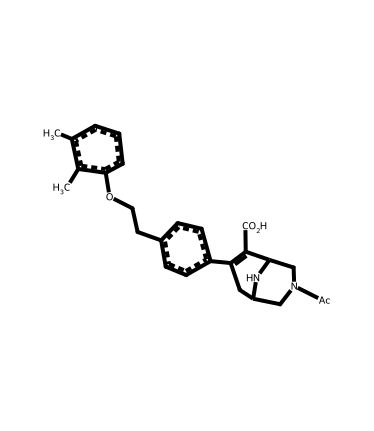 CC(=O)N1CC2CC(c3ccc(CCOc4cccc(C)c4C)cc3)=C(C(=O)O)C(C1)N2